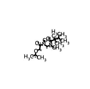 CC(C)OCC(=O)N(C)CN(C)C(=O)C(C)(C)C(C)C